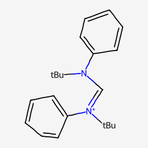 CC(C)(C)N(/C=[N+](\c1ccccc1)C(C)(C)C)c1ccccc1